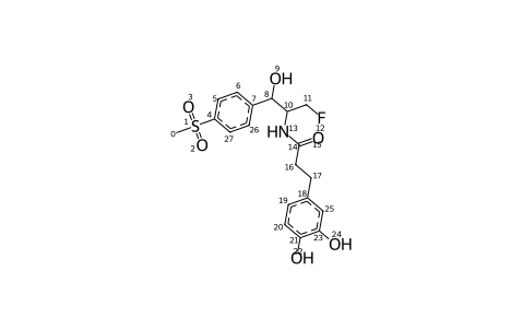 CS(=O)(=O)c1ccc(C(O)C(CF)NC(=O)CCc2ccc(O)c(O)c2)cc1